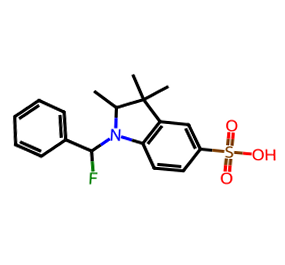 CC1N(C(F)c2ccccc2)c2ccc(S(=O)(=O)O)cc2C1(C)C